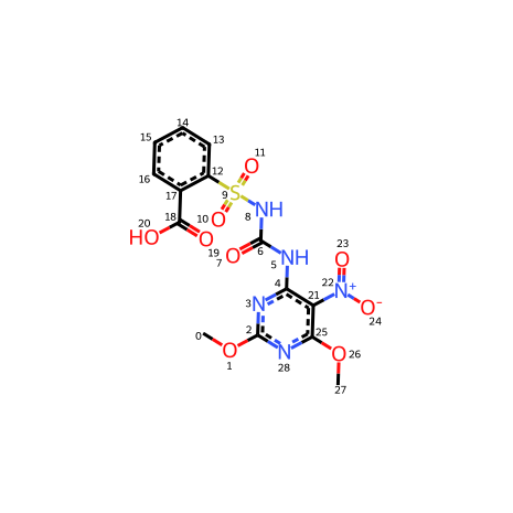 COc1nc(NC(=O)NS(=O)(=O)c2ccccc2C(=O)O)c([N+](=O)[O-])c(OC)n1